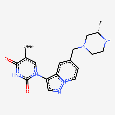 COc1cn(-c2cnn3ccc(CN4CCN[C@@H](C)C4)cc23)c(=O)[nH]c1=O